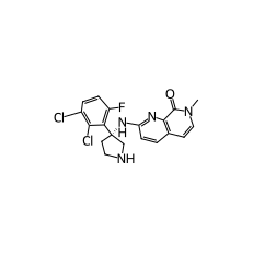 Cn1ccc2ccc(N[C@@]3(c4c(F)ccc(Cl)c4Cl)CCNC3)nc2c1=O